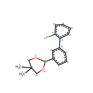 CC1(C)COB(c2cccc(-c3ccccc3F)c2)OC1